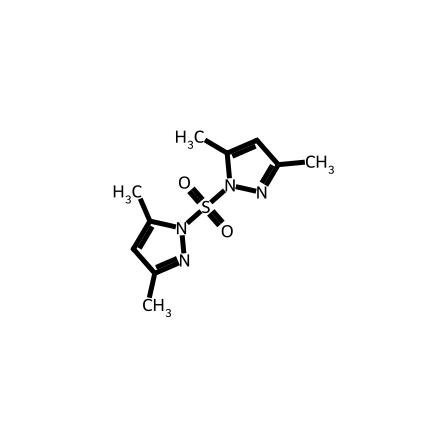 Cc1cc(C)n(S(=O)(=O)n2nc(C)cc2C)n1